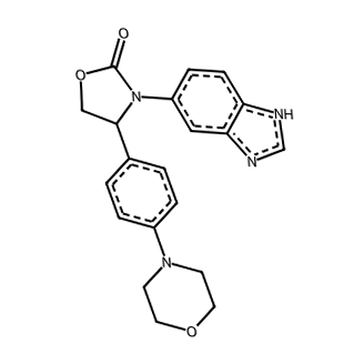 O=C1OCC(c2ccc(N3CCOCC3)cc2)N1c1ccc2[nH]cnc2c1